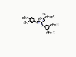 CCCCCCC/C=C/C(=N\c1cc(CCCCC)cc(CCCCC)c1)C(/CCCC)=N/c1ccc(CCCC)c(CCCC)c1.[Ni]